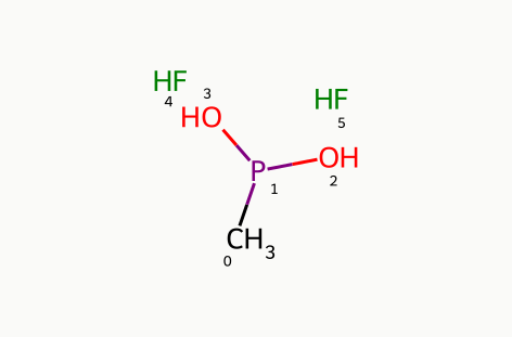 CP(O)O.F.F